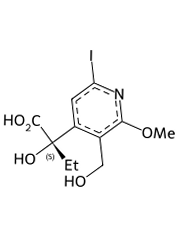 CC[C@@](O)(C(=O)O)c1cc(I)nc(OC)c1CO